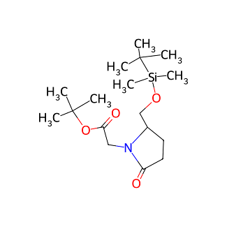 CC(C)(C)OC(=O)CN1C(=O)CCC1CO[Si](C)(C)C(C)(C)C